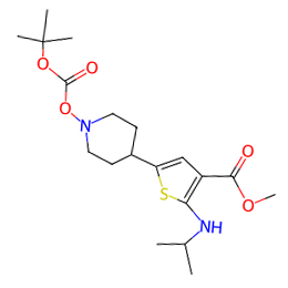 COC(=O)c1cc(C2CCN(OC(=O)OC(C)(C)C)CC2)sc1NC(C)C